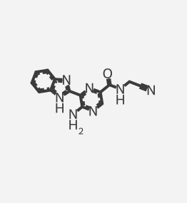 N#CCNC(=O)c1cnc(N)c(-c2nc3ccccc3[nH]2)n1